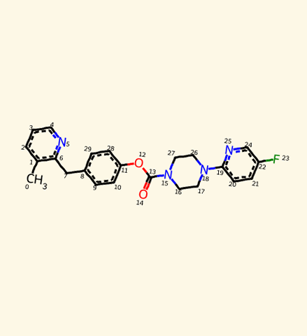 Cc1cccnc1Cc1ccc(OC(=O)N2CCN(c3ccc(F)cn3)CC2)cc1